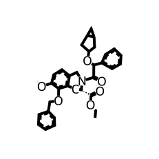 CCOC(=O)[C@@H]1Cc2c(ccc(OC)c2OCc2ccccc2)CN1C(=O)C(OC1CC2CC2C1)c1ccccc1